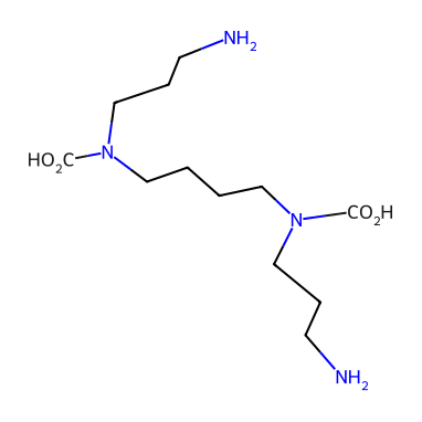 NCCCN(CCCCN(CCCN)C(=O)O)C(=O)O